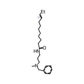 CC/C=C/CCCCCCCC(=O)NCCCN(C)Cc1ccccc1